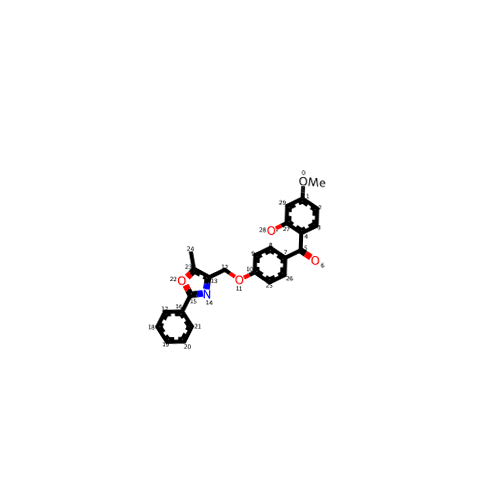 COc1ccc(C(=O)c2ccc(OCc3nc(-c4ccccc4)oc3C)cc2)c([O])c1